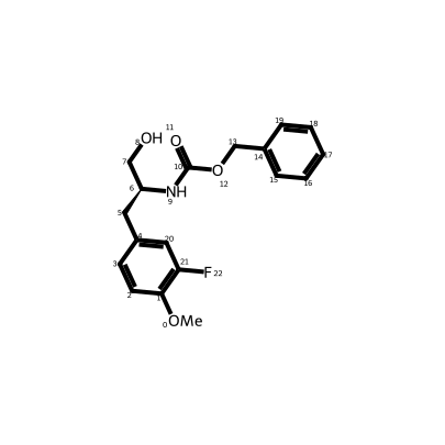 COc1ccc(C[C@@H](CO)NC(=O)OCc2ccccc2)cc1F